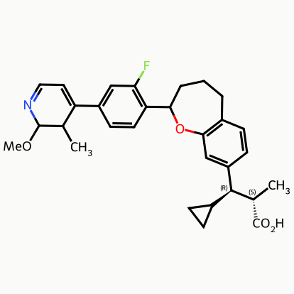 COC1N=CC=C(c2ccc(C3CCCc4ccc([C@H](C5CC5)[C@H](C)C(=O)O)cc4O3)c(F)c2)C1C